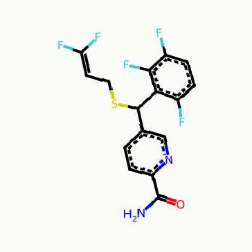 NC(=O)c1ccc(C(SCC=C(F)F)c2c(F)ccc(F)c2F)cn1